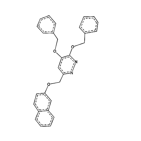 c1ccc(COc2cc(COc3ccc4ccccc4c3)nnc2OCc2ccccc2)cc1